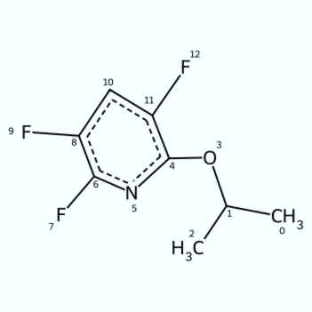 CC(C)Oc1nc(F)c(F)cc1F